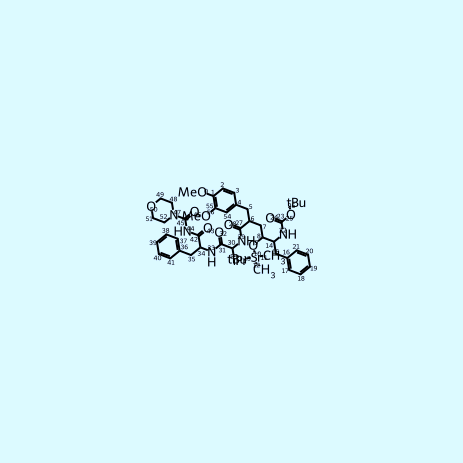 COc1ccc(CC(CC(O[Si](C)(C)C(C)(C)C)C(Cc2ccccc2)NC(=O)OC(C)(C)C)C(=O)NC(C(=O)NC(Cc2ccccc2)C(=O)NC(=O)N2CCOCC2)C(C)C)cc1OC